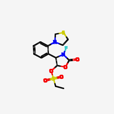 CCS(=O)(=O)OC1OC(=O)N(F)C1c1ccccc1N1CCSC1